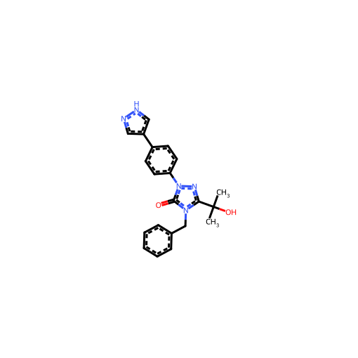 CC(C)(O)c1nn(-c2ccc(-c3cn[nH]c3)cc2)c(=O)n1Cc1ccccc1